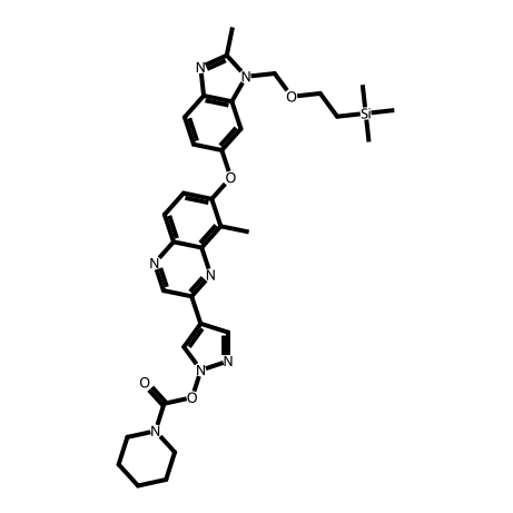 Cc1c(Oc2ccc3nc(C)n(COCC[Si](C)(C)C)c3c2)ccc2ncc(-c3cnn(OC(=O)N4CCCCC4)c3)nc12